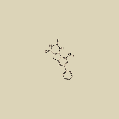 Cc1cc(-c2ccccc2)nc2sc3c(=O)[nH]c(=O)[nH]c3c12